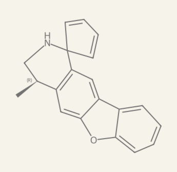 C[C@H]1CNC2(C=CC=C2)c2cc3c(cc21)oc1ccccc13